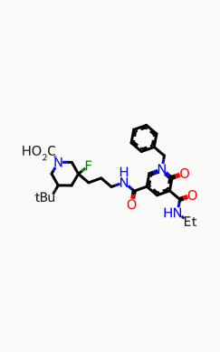 CCNC(=O)c1cc(C(=O)NCCCC2(F)CC(C(C)(C)C)CN(C(=O)O)C2)cn(Cc2ccccc2)c1=O